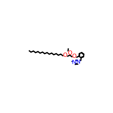 CCCCCCCCCCCCCCCCOCC(COCc1ccccc1Cn1cc[n+](C)c1)OCC